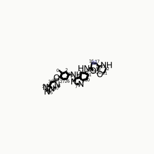 Cc1cc(Nc2ncnc3ccc(NC(=O)/C=C\C4COCCN4)cc23)ccc1Oc1cc2nncn2cn1